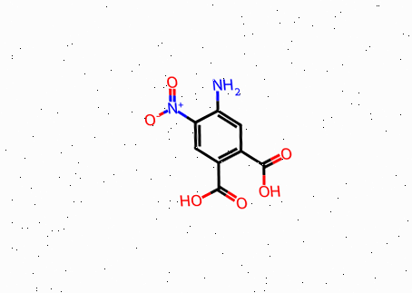 Nc1cc(C(=O)O)c(C(=O)O)cc1[N+](=O)[O-]